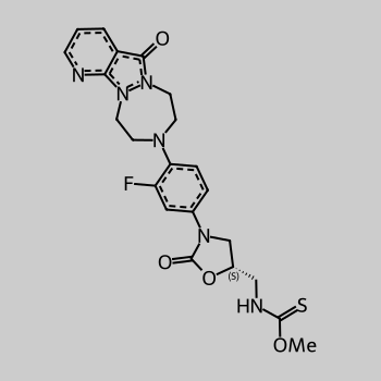 COC(=S)NC[C@H]1CN(c2ccc(N3CCn4c(=O)c5cccnc5n4CC3)c(F)c2)C(=O)O1